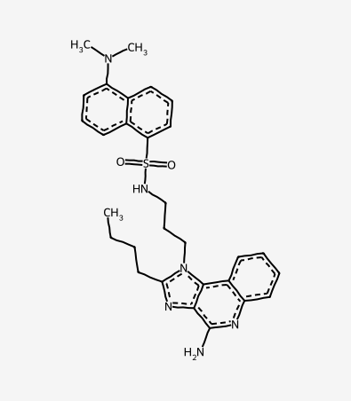 CCCCc1nc2c(N)nc3ccccc3c2n1CCCNS(=O)(=O)c1cccc2c(N(C)C)cccc12